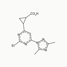 CCc1nc(C2CC2C(=O)O)cc(-n2nc(C)nc2C)n1